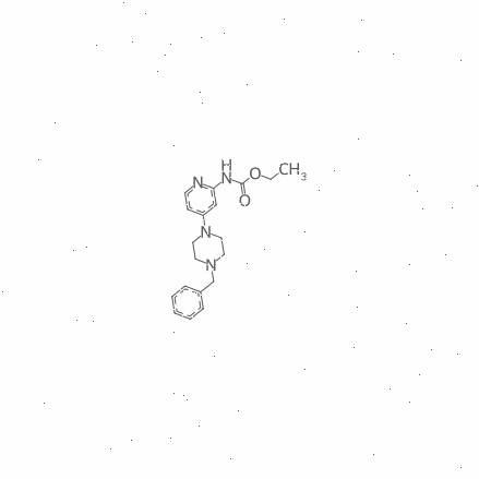 CCOC(=O)Nc1cc(N2CCN(Cc3ccccc3)CC2)ccn1